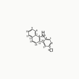 Clc1ccc2[nH]c3c4ccccc4ccc3c2c1